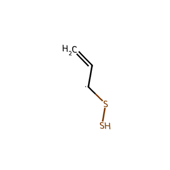 C=C[CH]SS